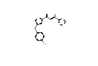 Nc1ccc(Cc2coc(C(=O)C=C(O)c3nc[nH]n3)c2)cc1